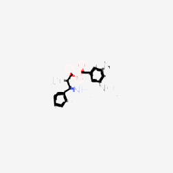 CC(C)(C)C(C(=O)OC(=O)c1cc([N+](=O)[O-])cc([N+](=O)[O-])c1)C(N)c1ccccc1